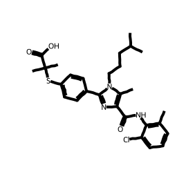 Cc1cccc(Cl)c1NC(=O)c1nc(-c2ccc(SC(C)(C)C(=O)O)cc2)n(CCCC(C)C)c1C